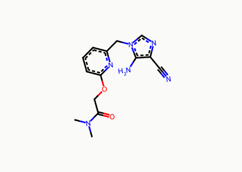 CN(C)C(=O)COc1cccc(Cn2cnc(C#N)c2N)n1